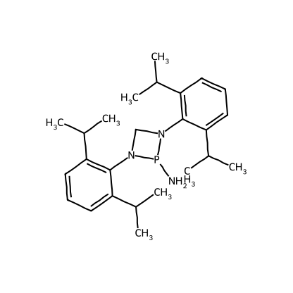 CC(C)c1cccc(C(C)C)c1N1CN(c2c(C(C)C)cccc2C(C)C)P1N